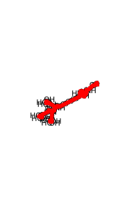 N=N/C1=C(\NCCOCCOCCOCCOCCOCCOCCOCCOCCC(=O)NC(CCC(=O)NC(CCC(=O)NCCCCCCO[C@H]2O[C@H](CO)[C@@H](O)[C@H](O)[C@@H]2O)C(=O)NCCCCCCO[C@H]2O[C@H](CO)[C@@H](O)[C@H](O)[C@@H]2O)C(=O)NCCCCCCO[C@H]2O[C@H](CO)[C@@H](O)[C@H](O)[C@@H]2O)c2ccccc2N(C(=O)CCC(=O)NCCCCCCC(=O)OCc2ccccc2)Cc2ccccc21